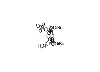 CC(C)COC(=O)CN(c1ccc(N(CC(=O)OCC(C)C)S(=O)(=O)c2ccc(N3C(=O)c4ccccc4C3=O)cc2)c2ccccc12)S(=O)(=O)c1ccc(N)cc1